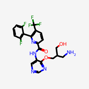 NCC(CO)COc1ncncc1NC(=O)c1ccc(C(F)(F)F)c(-c2c(F)cccc2F)n1